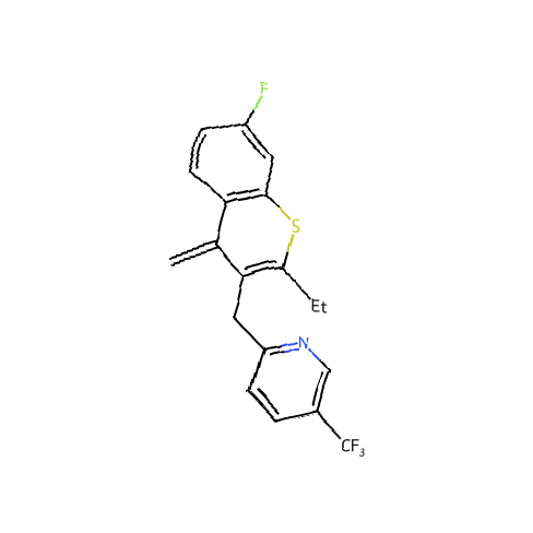 C=C1C(Cc2ccc(C(F)(F)F)cn2)=C(CC)Sc2cc(F)ccc21